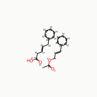 CC(=O)OCC=Cc1ccccc1.O=C(O)CC=CCc1ccccc1